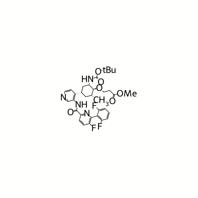 COC(=O)CCO[C@H]1[C@H](C)C[C@H](c2ccncc2NC(=O)c2ccc(F)c(-c3c(F)cccc3F)n2)C[C@@H]1NC(=O)OC(C)(C)C